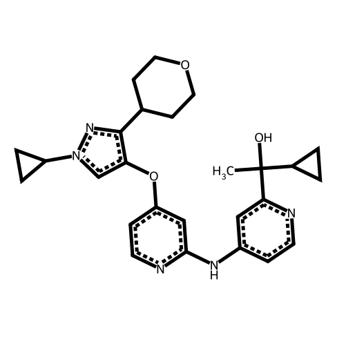 CC(O)(c1cc(Nc2cc(Oc3cn(C4CC4)nc3C3CCOCC3)ccn2)ccn1)C1CC1